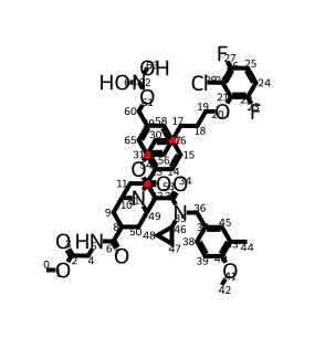 COC(=O)CNC(=O)C1CC2CC(c3ccc(CCCOc4c(F)ccc(F)c4Cl)cc3)C(C(=O)N(Cc3ccc(OC)c(C)c3)C3CC3)C(C1)N2C(=O)Oc1cccc(CON(O)O)c1